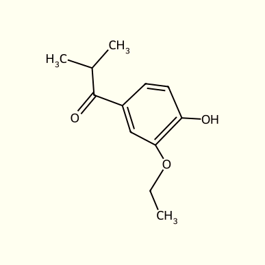 CCOc1cc(C(=O)C(C)C)ccc1O